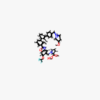 COC1CCN(Cc2ccc(-c3cccc(-c4cccc(-c5nc6cc(CN7CCC[C@H]7C(=O)O)c(OC(F)F)cc6o5)c4C)c3C)cc2)C1